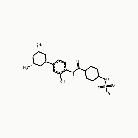 Cc1cc(N2C[C@@H](C)O[C@@H](C)C2)ccc1NC(=O)C1CCC(NS(=O)(=O)C(C)C)CC1